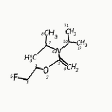 C=C(OCCF)N(C(C)C)C(C)C